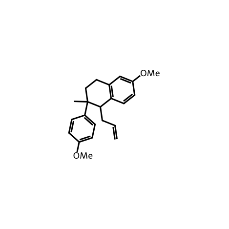 C=CCC1c2ccc(OC)cc2CCC1(C)c1ccc(OC)cc1